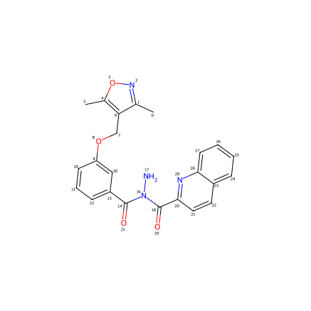 Cc1noc(C)c1COc1cccc(C(=O)N(N)C(=O)c2ccc3ccccc3n2)c1